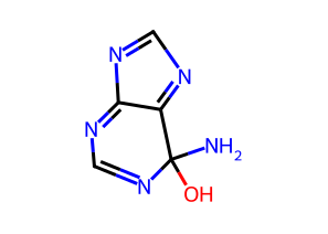 NC1(O)N=CN=C2N=CN=C21